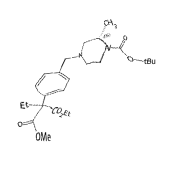 CCOC(=O)C(CC)(C(=O)OC)c1ccc(CN2CCN(C(=O)OC(C)(C)C)[C@@H](C)C2)cc1